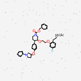 CC(=O)NCCc1ccc(F)cc1OCCOC1CN(C(=O)OCc2ccccc2)CCC1c1ccc(O[C@H]2CCN(c3ccccc3)C2)cc1